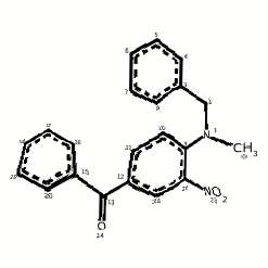 CN(Cc1ccccc1)c1ccc(C(=O)c2ccccc2)cc1[N+](=O)[O-]